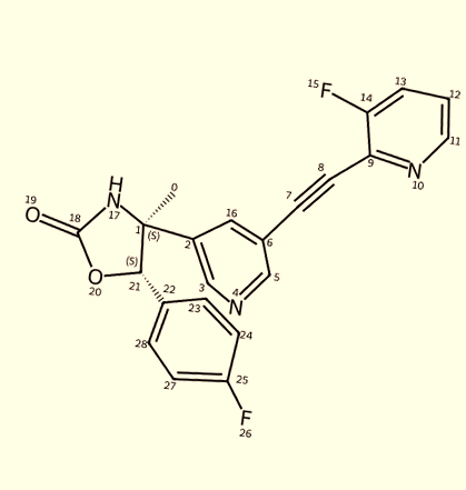 C[C@@]1(c2cncc(C#Cc3ncccc3F)c2)NC(=O)O[C@H]1c1ccc(F)cc1